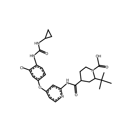 CC(C)(C)C1CC(C(=O)Nc2cc(Oc3ccc(NC(=O)NC4CC4)c(Cl)c3)ccn2)CCN1C(=O)O